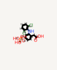 O=C(O)Cc1ccccc1Nc1c(Cl)cccc1Cl.O=P(O)(O)O